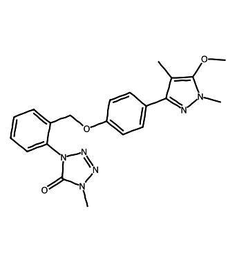 COc1c(C)c(-c2ccc(OCc3ccccc3-n3nnn(C)c3=O)cc2)nn1C